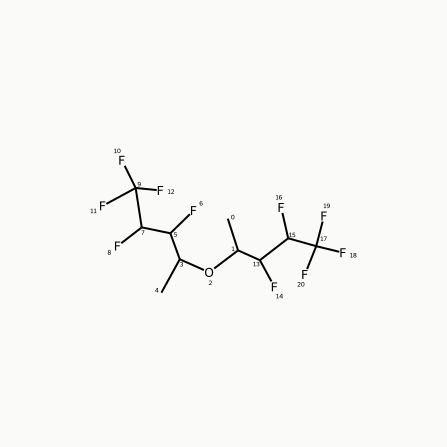 CC(OC(C)C(F)C(F)C(F)(F)F)C(F)C(F)C(F)(F)F